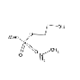 CN.COS(=O)(=O)OCCO